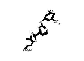 COCCc1sc(-c2ccnc(Nc3cc(C(F)(F)F)cc(C(F)(F)F)c3)n2)nc1C